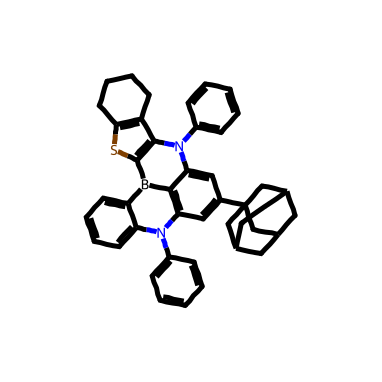 c1ccc(N2c3ccccc3B3c4sc5c(c4N(c4ccccc4)c4cc(C67CC8CC(CC(C8)C6)C7)cc2c43)CCCC5)cc1